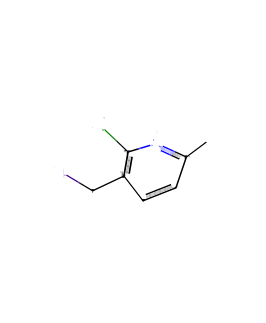 Cc1ccc(CI)c(Cl)n1